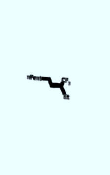 CCCCCCC=C(CC)C(F)(F)F